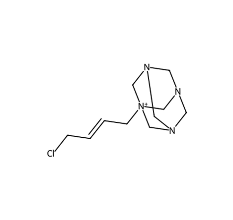 ClC/C=C/C[N+]12CN3CN(CN(C3)C1)C2